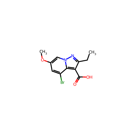 CCc1nn2cc(OC)cc(Br)c2c1C(=O)O